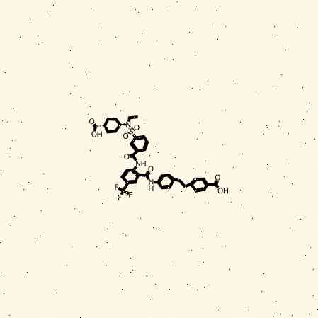 CCN([C@H]1CC[C@H](C(=O)O)CC1)S(=O)(=O)c1cccc(C(=O)Nc2ccc(C(F)(F)F)cc2C(=O)Nc2ccc(CCc3ccc(C(=O)O)cc3)cc2)c1